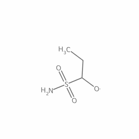 CCC([O])S(N)(=O)=O